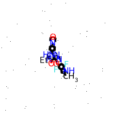 CCN(C)C(=O)c1c(Nc2ccc(N3CCOCC3)cc2)ncnc1Oc1cc(F)c2[nH]c(C)cc2c1F